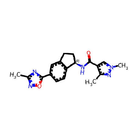 Cc1noc(-c2ccc3c(c2)CC[C@H]3NC(=O)c2cn(C)nc2C)n1